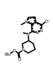 CN(c1nnc(Cl)c2ccn(C)c12)C1CCCN(C(=O)OC(C)(C)C)C1